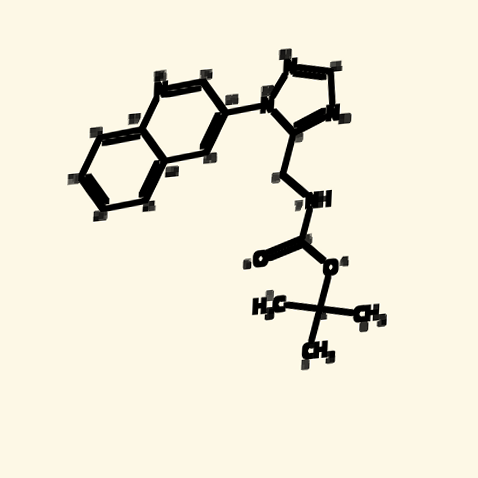 CC(C)(C)OC(=O)NCc1ncnn1-c1cnc2ccccc2c1